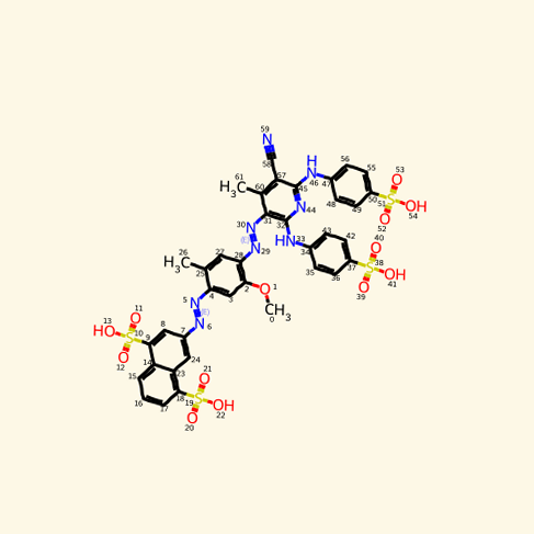 COc1cc(/N=N/c2cc(S(=O)(=O)O)c3cccc(S(=O)(=O)O)c3c2)c(C)cc1/N=N/c1c(Nc2ccc(S(=O)(=O)O)cc2)nc(Nc2ccc(S(=O)(=O)O)cc2)c(C#N)c1C